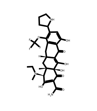 CCN(C)[C@@H]1C(O)=C(C(N)=O)C(=O)[C@@]2(O)C(O)=C3C(=O)c4c(O)cc(C5CCCN5)c(OC(F)(F)F)c4C[C@H]3C[C@@]12C